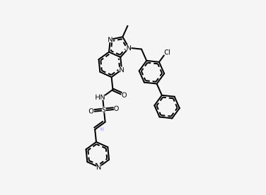 Cc1nc2ccc(C(=O)NS(=O)(=O)/C=C/c3ccncc3)nc2n1Cc1ccc(-c2ccccc2)cc1Cl